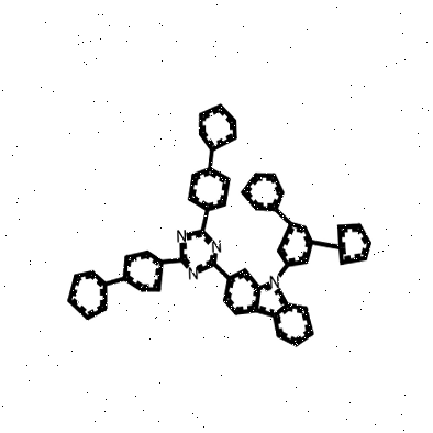 c1ccc(-c2ccc(-c3nc(-c4ccc(-c5ccccc5)cc4)nc(-c4ccc5c6ccccc6n(-c6cc(-c7ccccc7)cc(-c7ccccc7)c6)c5c4)n3)cc2)cc1